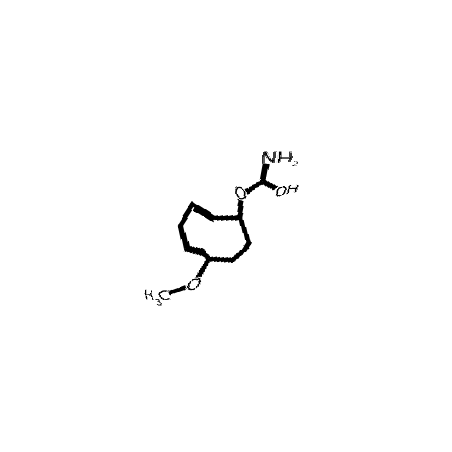 COC1CC/C=C/C(OC(N)O)CC1